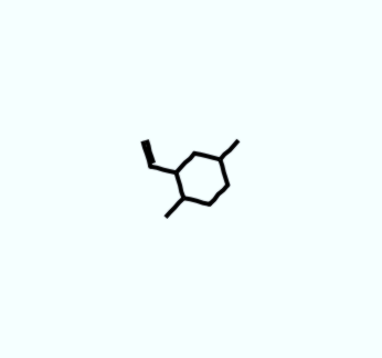 C=CC1CC(C)CCC1C